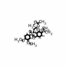 COc1ccc(S(=O)(=O)N(CC(C)(C)OC(C)=O)c2cc(N(C)C)ccc2Cl)cc1OC